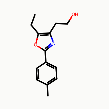 CCc1oc(-c2ccc(C)cc2)nc1CCO